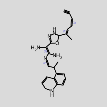 C#C/C=C\C=C(/C)C1NN=C(/C(N)=C(N)/N=C\C(C)c2cccc3c2C=CCN3)O1